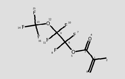 C=C(C)C(=O)OC(F)(F)C(F)(F)OC(F)(F)F